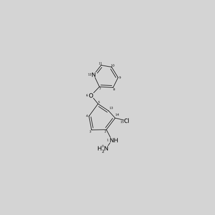 NNc1ccc(Oc2ccccn2)cc1Cl